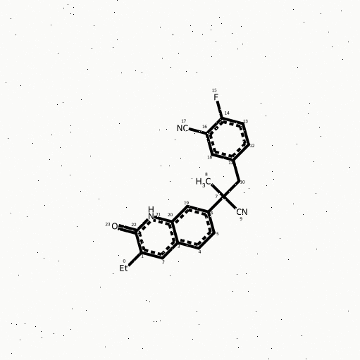 CCc1cc2ccc(C(C)(C#N)Cc3ccc(F)c(C#N)c3)cc2[nH]c1=O